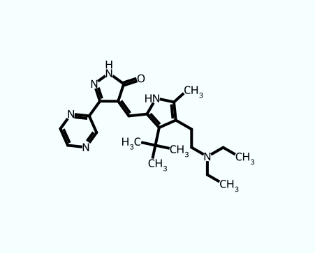 CCN(CC)CCc1c(C)[nH]c(C=C2C(=O)NN=C2c2cnccn2)c1C(C)(C)C